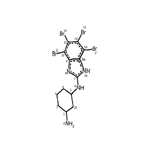 NC1CCCC(Nc2nc3c(Br)c(Br)c(Br)c(Br)c3[nH]2)C1